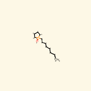 CCCCCCCCP1(=O)CCCC1